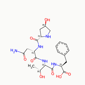 C[C@@H](O)[C@H](NC(=O)[C@H](CC(N)=O)NC(=O)[C@@H]1C[C@@H](O)CN1)C(=O)N[C@@H](Cc1ccccc1)C(=O)O